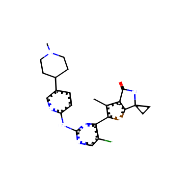 Cc1c(-c2nc(Nc3ccc(C4CCN(C)CC4)cn3)ncc2F)sc2c1C(=O)NC21CC1